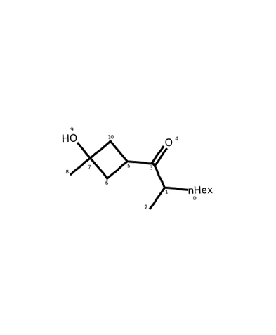 CCCCCCC(C)C(=O)C1CC(C)(O)C1